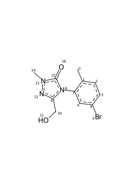 Cc1ccc(Br)cc1-n1c(CO)nn(C)c1=O